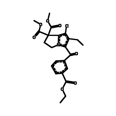 CCOC(=O)c1cccc(C(=O)c2c(CC)c(Cl)c3n2CCC3(C(=O)OC)C(=O)OC)c1